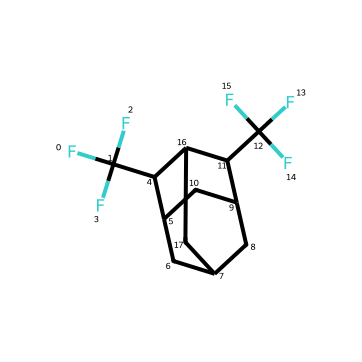 FC(F)(F)C1C2CC3CC(C2)C(C(F)(F)F)C1C3